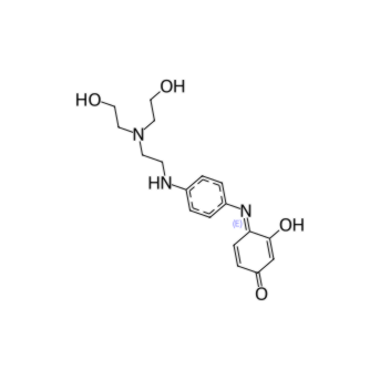 O=C1C=C/C(=N\c2ccc(NCCN(CCO)CCO)cc2)C(O)=C1